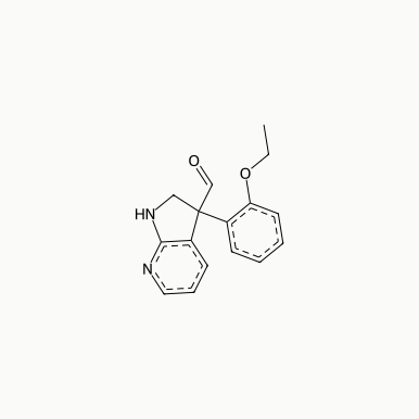 CCOc1ccccc1C1(C=O)CNc2ncccc21